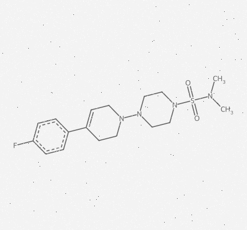 CN(C)S(=O)(=O)N1CCN(N2CC=C(c3ccc(F)cc3)CC2)CC1